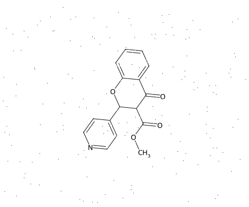 COC(=O)C1C(=O)c2ccccc2OC1c1ccncc1